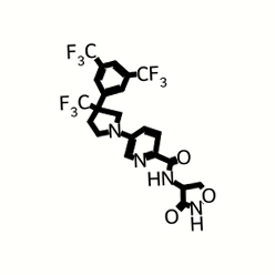 O=C(NC1CONC1=O)c1ccc(N2CCC(c3cc(C(F)(F)F)cc(C(F)(F)F)c3)(C(F)(F)F)C2)cn1